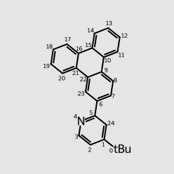 CC(C)(C)c1ccnc(-c2ccc3c4ccccc4c4ccccc4c3c2)c1